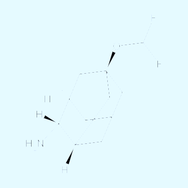 N[C@@H]1[C@@H]2CC3C[C@H]1C[C@@](OC(F)F)(C3)C2